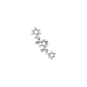 O=C(OCc1ccccc1)c1cncc(C(=O)OCc2ccccc2)c1